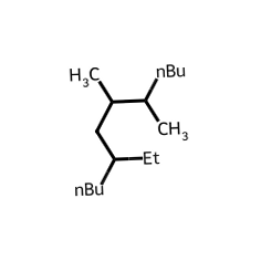 CCCCC(CC)CC(C)C(C)CCCC